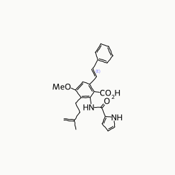 C=C(C)CCc1c(OC)cc(/C=C/c2ccccc2)c(C(=O)O)c1NC(=O)c1ccc[nH]1